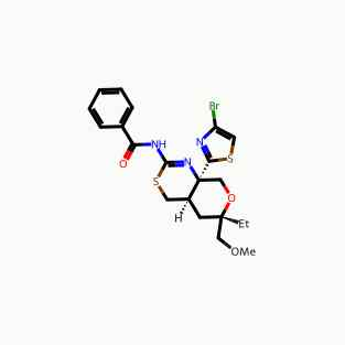 CC[C@@]1(COC)C[C@H]2CSC(NC(=O)c3ccccc3)=N[C@@]2(c2nc(Br)cs2)CO1